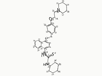 S=C(Nc1ccc(OCc2ccc(OCCN3CCCCC3)cc2)c2ccccc12)NC1CCCCC1